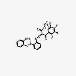 CCOC(=O)C(=C=Nc1ccccc1SSc1ccccc1N)C(=O)c1cc(F)c(F)c(F)c1F